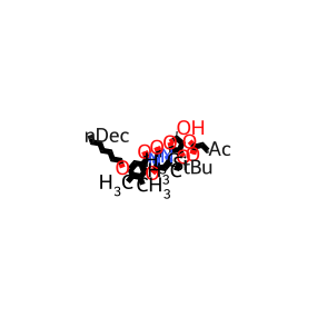 CCCCCCCCCCCCCCCCOc1cc(C(=O)n2c(=O)ccn([C@@H]3O[C@H](CO)[C@H](OC(=O)CCC(C)=O)C3O[Si](C)(C)C(C)(C)C)c2=O)cc(C)c1C